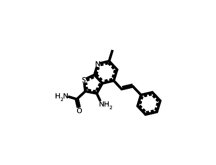 Cc1cc(C=Cc2ccccc2)c2c(N)c(C(N)=O)sc2n1